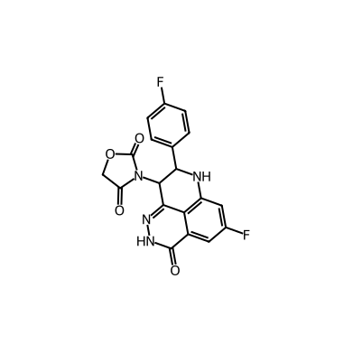 O=C1COC(=O)N1C1c2n[nH]c(=O)c3cc(F)cc(c23)NC1c1ccc(F)cc1